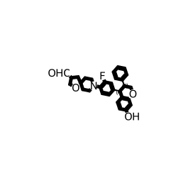 O=CC1COC2(CCN(c3ccc([C@@H]4c5ccc(O)cc5OC[C@@H]4c4ccccc4)cc3F)CC2)C1